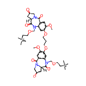 COc1cc2c(cc1OCCCOc1cc3c(cc1OC)C(=O)N1CC(=O)C[C@H]1C(=O)N3COCC[Si](C)(C)C)N(COCC[Si](C)(C)C)C(=O)[C@@H]1CC(=O)CN1C2=O